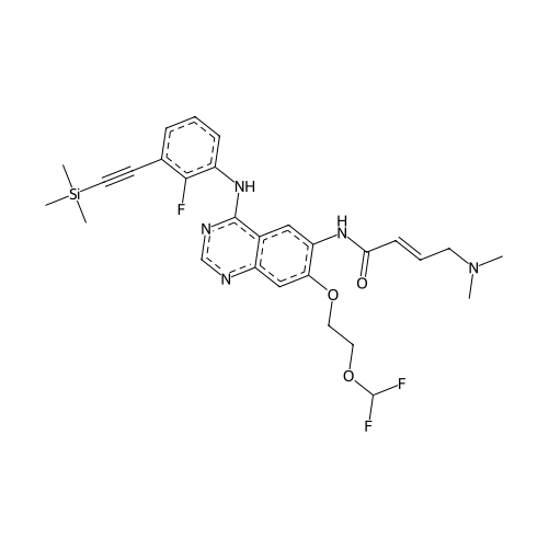 CN(C)C/C=C/C(=O)Nc1cc2c(Nc3cccc(C#C[Si](C)(C)C)c3F)ncnc2cc1OCCOC(F)F